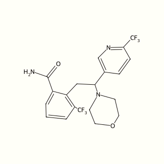 NC(=O)c1cccc(C(F)(F)F)c1CC(c1ccc(C(F)(F)F)nc1)N1CCOCC1